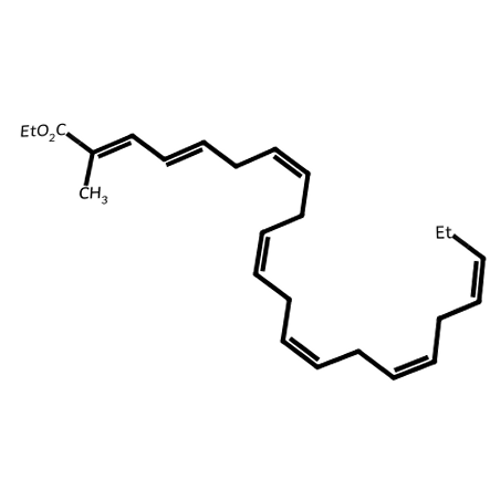 CC/C=C\C/C=C\C/C=C\C/C=C\C/C=C\C/C=C/C=C(\C)C(=O)OCC